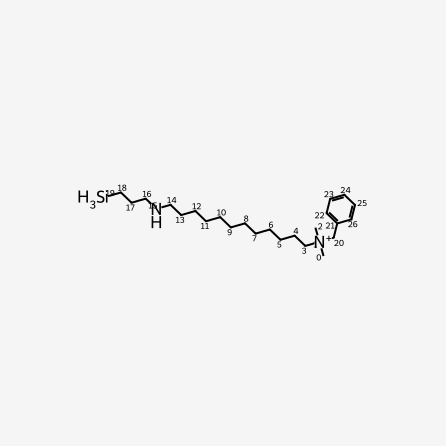 C[N+](C)(CCCCCCCCCCCCNCCC[SiH3])Cc1ccccc1